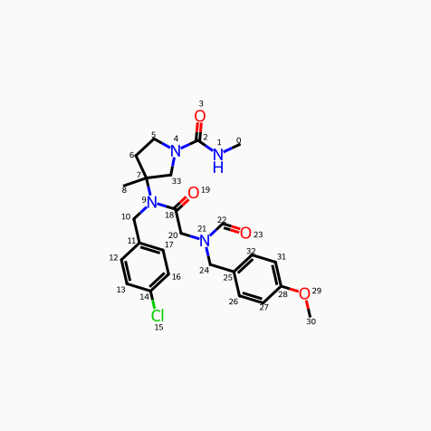 CNC(=O)N1CCC(C)(N(Cc2ccc(Cl)cc2)C(=O)CN(C=O)Cc2ccc(OC)cc2)C1